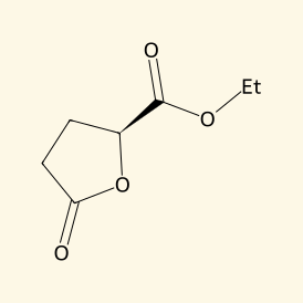 CCOC(=O)[C@@H]1CCC(=O)O1